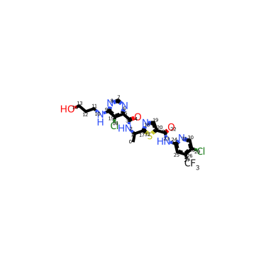 CC(NC(=O)c1ncnc(NCCCO)c1Cl)c1ncc(C(=O)Nc2cc(C(F)(F)F)c(Cl)cn2)s1